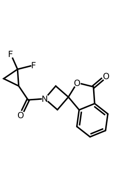 O=C1OC2(CN(C(=O)C3CC3(F)F)C2)c2ccccc21